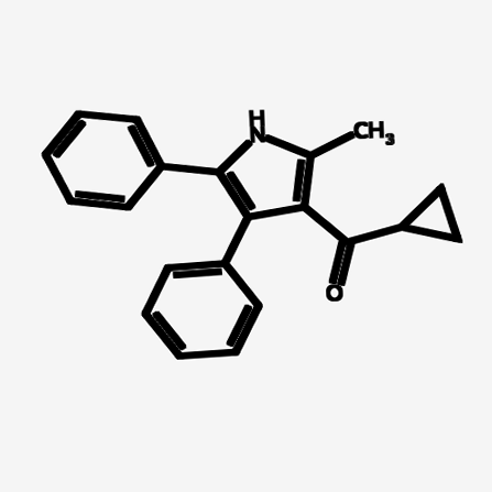 Cc1[nH]c(-c2ccccc2)c(-c2ccccc2)c1C(=O)C1CC1